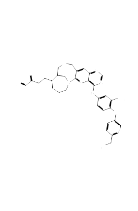 C=CC(=O)CCC1CCCN2CC1COCc1cc3ncnc(Nc4ccc(Oc5ccc(CC)nc5)c(C)c4)c3nc12